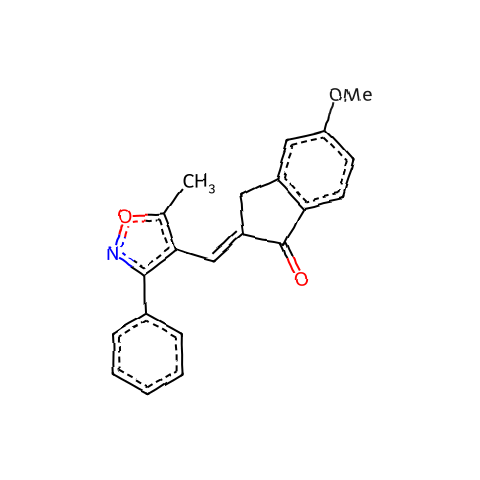 COc1ccc2c(c1)CC(=Cc1c(-c3ccccc3)noc1C)C2=O